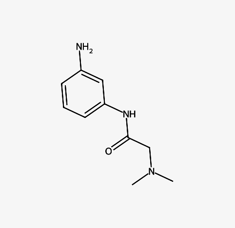 CN(C)CC(=O)Nc1cccc(N)c1